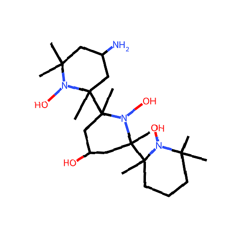 CC1(C)CCCC(C)(C2(C)CC(O)CC(C)(C3(C)CC(N)CC(C)(C)N3O)N2O)N1O